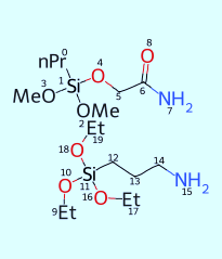 CCC[Si](OC)(OC)OCC(N)=O.CCO[Si](CCCN)(OCC)OCC